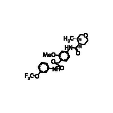 COc1cc(NC(=O)[C@@H]2CCOC[C@H]2C)ccc1S(=O)(=O)Nc1cccc(OC(F)(F)F)c1